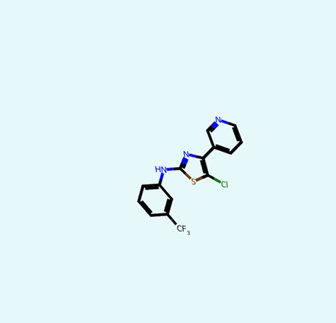 FC(F)(F)c1cccc(Nc2nc(-c3cccnc3)c(Cl)s2)c1